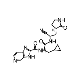 N#CC(C[C@@H]1CCNC1=O)NC(=O)C(CC1CC1)NC(=O)c1nc2ccncc2[nH]1